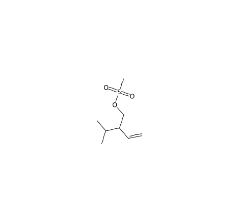 C=CC(COS(C)(=O)=O)C(C)C